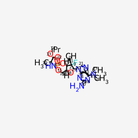 C#C[C@@]1(F)[C@@H]2OP(=O)(N[C@@H](C)C(=O)OC(C)C)OC[C@H]2O[C@H]1n1cnc2c(N(C)C)nc(N)nc21